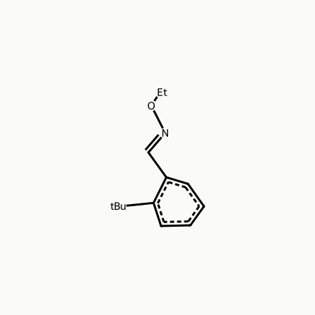 CCON=Cc1ccccc1C(C)(C)C